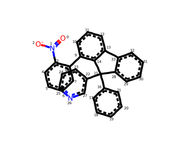 O=[N+]([O-])c1ccccc1-c1cccc2c1C(c1ccccc1)(c1cccnc1)c1ccccc1-2